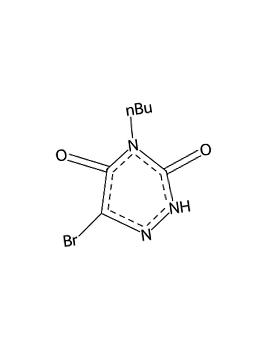 CCCCn1c(=O)[nH]nc(Br)c1=O